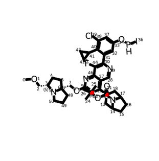 COC[C@@H]1CC[C@@]2(COc3nc(N4CC5CCC(C4)N5C(=O)OC(C)(C)C)c4cnc(-c5cc(OPI)cc(Cl)c5C5CC5)c(F)c4n3)CCCN12